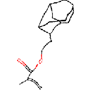 C=C(C)C(=O)OCCC1C2CC3CC(C2)CC1C3